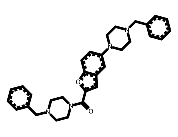 O=C(c1cc2cc(N3CCN(Cc4ccccc4)CC3)ccc2o1)N1CCN(Cc2ccccc2)CC1